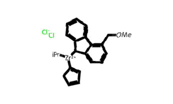 COCc1cccc2c1-c1ccccc1[CH]2[Zr+2]([C]1=CC=CC1)[CH](C)C.[Cl-].[Cl-]